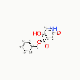 O=C1CC(C(=O)OCc2ccccc2)=C(O)CN1